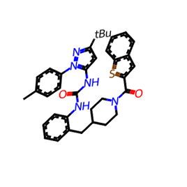 Cc1ccc(-n2nc(C(C)(C)C)cc2NC(=O)Nc2ccccc2CC2CCN(C(=O)c3cc4ccccc4s3)CC2)cc1